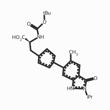 Cc1cc2c(=O)n(C(C)C)[nH]c2cc1-c1ccc(C[C@H](NC(=O)OC(C)(C)C)C(=O)O)cc1